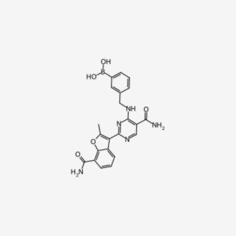 Cc1oc2c(C(N)=O)cccc2c1-c1ncc(C(N)=O)c(NCc2cccc(B(O)O)c2)n1